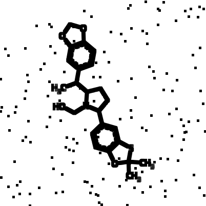 CC(c1ccc2c(c1)OCO2)C1CCC(c2ccc3c(c2)SC(C)(C)O3)N1CO